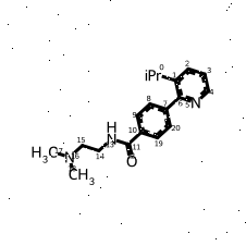 CC(C)c1cccnc1-c1ccc(C(=O)NCCN(C)C)cc1